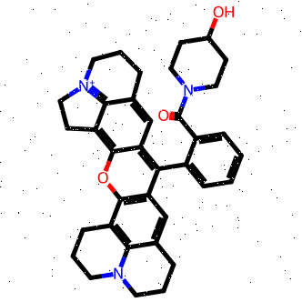 O=C(c1ccccc1C1=c2cc3c4c(c2Oc2c1cc1c5c2CCCN5CCC1)CC[N+]=4CCC3)N1CCC(O)CC1